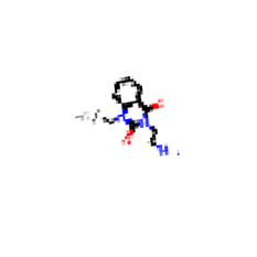 NCCn1c(=O)c2ccccc2n(CC(=O)O)c1=O